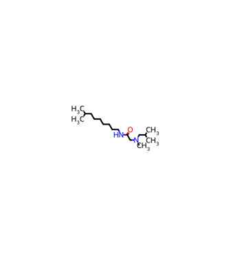 CC(C)CCCCCCCNC(=O)CN(C)CC(C)C